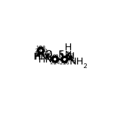 Nc1n[nH]c2c(F)c(-c3ccc(NC(=O)Nc4ccccc4F)cc3)ccc12